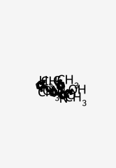 Cc1cccc(C)c1COc1ccc(-c2cnc(C)c(CC(=O)O)c2N2CCC(C)(C)CC2)nc1